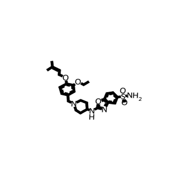 CCOc1cc(CN2CCC(Nc3nc4cc(S(N)(=O)=O)ccc4o3)CC2)ccc1OCC=C(C)C